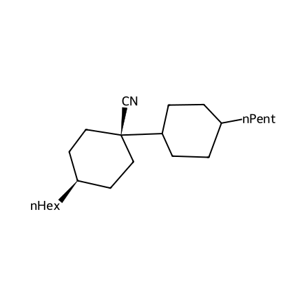 CCCCCC[C@H]1CC[C@](C#N)(C2CCC(CCCCC)CC2)CC1